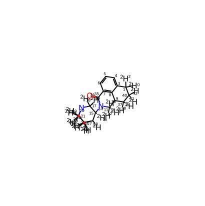 [2H]C1([2H])c2cccc3c2[C@@]([2H])(C([2H])([2H])N([C@]2([2H])C([2H])([2H])N4C([2H])([2H])C([2H])([2H])C2([2H])C([2H])([2H])C4([2H])[2H])C3=O)C([2H])([2H])C1([2H])[2H]